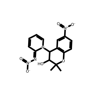 CC1(C)Oc2ccc([N+](=O)[O-])cc2C(n2ccccc2=N[N+](=O)[O-])C1O